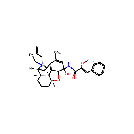 C=CC[N+]1(CC(C)C)CC[C@@]23C4=C5C[C@@H]1[C@@H]2CCC[C@@H]3OC4C(O)(NC(=O)C(=Cc1ccccc1)OC(F)(F)F)C=C5OC(C)=O